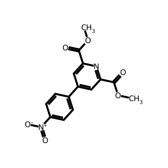 COC(=O)c1cc(-c2ccc([N+](=O)[O-])cc2)cc(C(=O)OC)n1